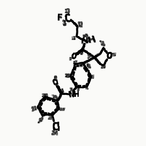 O=C(Nc1ccc(C2(C(=O)NCCC(F)(F)F)COC2)cc1)c1cccc(Cl)c1